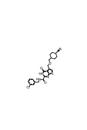 N#CC1CCC(COCc2csc3nc(C(=O)NCc4cccc(Cl)c4)[nH]c(=O)c23)CC1